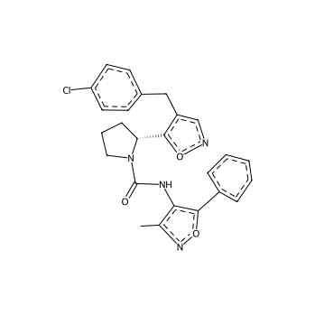 Cc1noc(-c2ccccc2)c1NC(=O)N1CCC[C@@H]1c1oncc1Cc1ccc(Cl)cc1